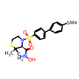 CSc1ccc(-c2ccc(S(=O)(=O)N3CCSC(C)(C)[C@@H]3C(=O)NO)cc2)cc1